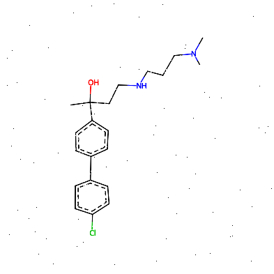 CN(C)CCCNCCC(C)(O)c1ccc(-c2ccc(Cl)cc2)cc1